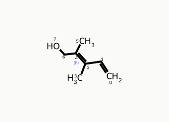 C=C/C(C)=C(\C)CO